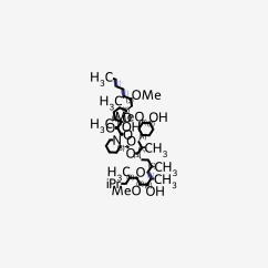 C/C=C/C=C(\C)[C@H](C[C@@H]1CC[C@@H](C)[C@](O)(C(=O)C(=O)N2CCCC[C@H]2C(=O)O[C@@H](CC[C@H](C)/C=C(\C)[C@@H](O)[C@@H](OC)C(=O)[C@H](C)CC(C)C)[C@H](C)C[C@H]2CC[C@@H](O)[C@H](OC)C2)O1)OC